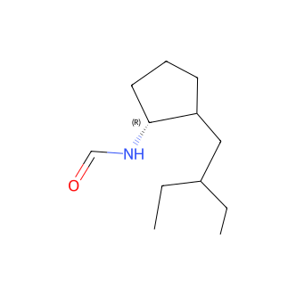 CCC(CC)CC1CCC[C@H]1NC=O